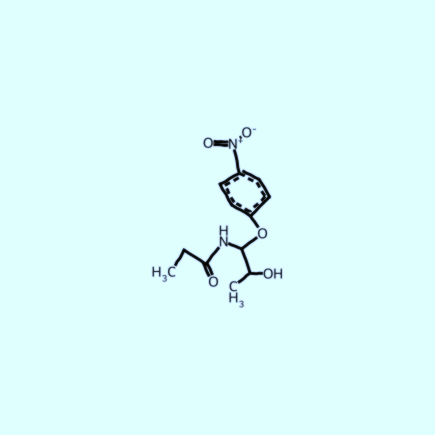 CCC(=O)NC(Oc1ccc([N+](=O)[O-])cc1)C(C)O